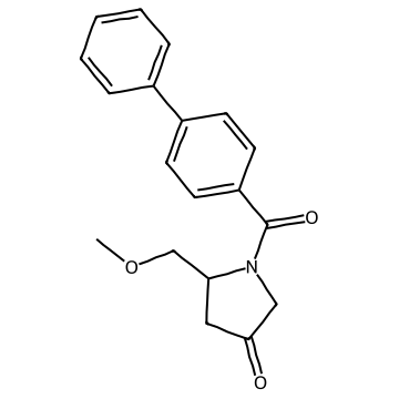 COCC1CC(=O)CN1C(=O)c1ccc(-c2ccccc2)cc1